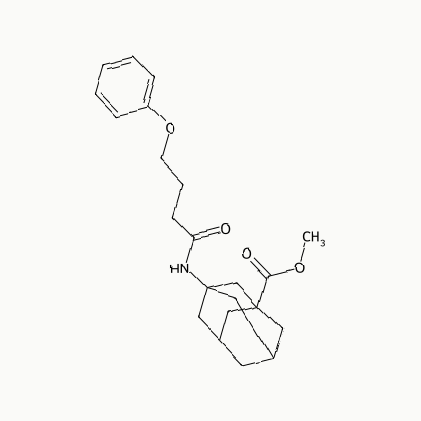 COC(=O)C12CC3CC(CC(NC(=O)CCCOc4ccccc4)(C3)C1)C2